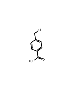 CC(=O)c1ccc(CCl)cc1